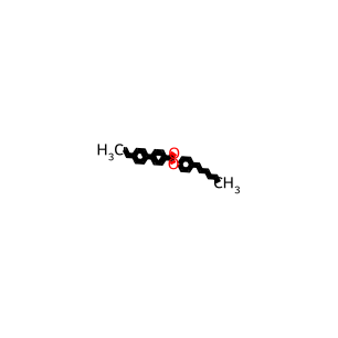 CCCCCCC1CCC(OC(=O)c2ccc(C3=CCC(CCC)CC3)cc2)CC1